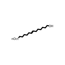 CCCCCCCCCCCCCC=CCCCCCCO